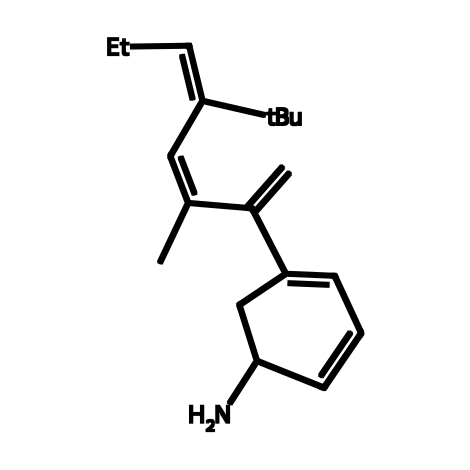 C=C(C1=CC=CC(N)C1)/C(C)=C\C(=C/CC)C(C)(C)C